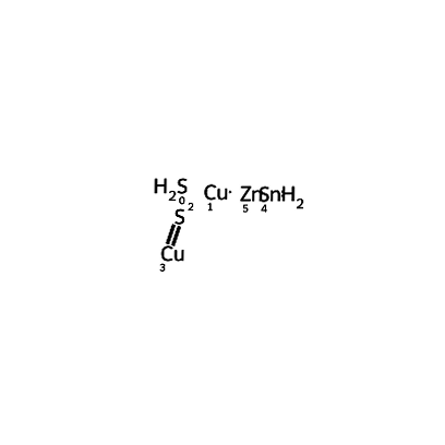 S.[Cu].[S]=[Cu].[SnH2].[Zn]